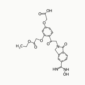 CCOC(=O)COc1cc(OCC(=O)O)ccc1C(=O)CN1Cc2cc(C(=N)NO)ccc2C1=O